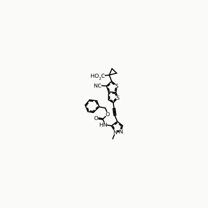 Cn1ncc(C#Cc2cc3c(C#N)c(C4(C(=O)O)CC4)sc3s2)c1NC(=O)OCc1ccccc1